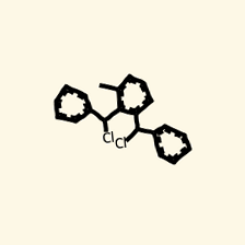 Cc1cccc(C(Cl)c2ccccc2)c1C(Cl)c1ccccc1